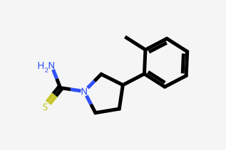 Cc1ccccc1C1CCN(C(N)=S)C1